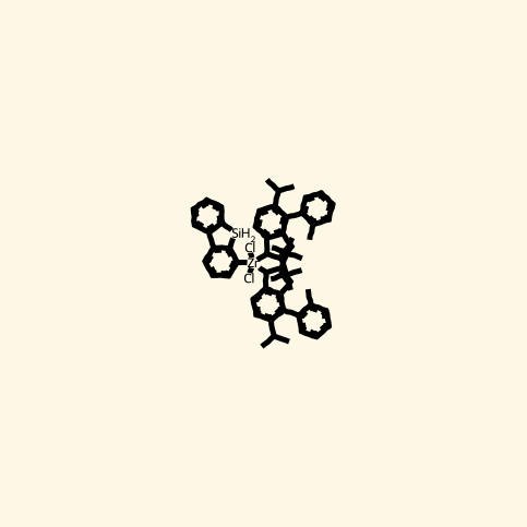 Cc1ccccc1-c1c(C(C)C)ccc2c1C=C(C(C)(C)C)[CH]2[Zr]([Cl])([Cl])([c]1cccc2c1[SiH2]c1ccccc1-2)[CH]1C(C(C)(C)C)=Cc2c1ccc(C(C)C)c2-c1ccccc1C